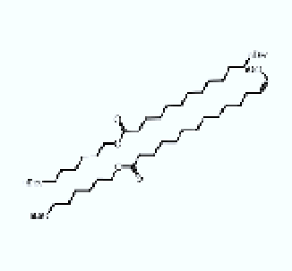 CCCCCCCC/C=C\CCCCCCCCCCCC(=O)OCCCCCCCCCCCCCCCC.CCCCCCCCCCCCCCCCCCCCCC(=O)OCCCCCCCCCCCCCCCC